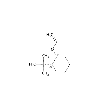 C=CO[C@@H]1CCCC[C@@H]1C(C)(C)C